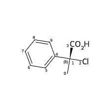 C[C@](Cl)(C(=O)O)c1ccccc1